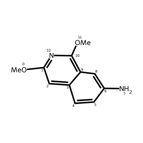 COc1cc2ccc(N)cc2c(OC)n1